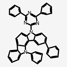 c1ccc(-c2ccc3c(c2)c2c(ccc4c5ccccc5n(-c5ccccc5)c42)n3-c2nc(-c3ccccc3)nc(-c3ccccc3)n2)cc1